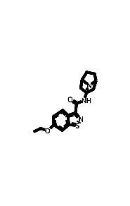 CCOc1ccc2c(C(=O)NC3CC4CCC(C3)N4C)nsc2c1